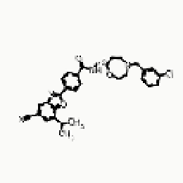 CC(C)c1cc(C#N)cc2nc(-c3ccc(C(=O)NC[C@@H]4CCN(Cc5cccc(Cl)c5)CCO4)cc3)oc12